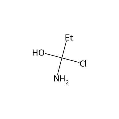 CCC(N)(O)Cl